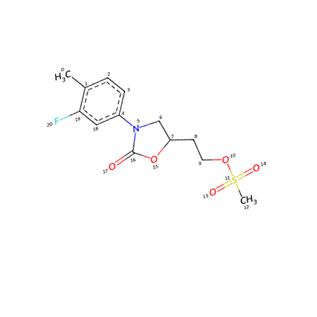 Cc1ccc(N2CC(CCOS(C)(=O)=O)OC2=O)cc1F